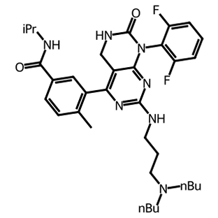 CCCCN(CCCC)CCCNc1nc(-c2cc(C(=O)NC(C)C)ccc2C)c2c(n1)N(c1c(F)cccc1F)C(=O)NC2